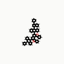 c1ccc(-c2ccc(-c3c4ccccc4c(-c4cc5cc(-c6c7ccccc7c(-c7ccccc7)c7ccccc67)c6oc7ccccc7c6c5c5c4oc4ccccc45)c4ccccc34)c3ccccc23)cc1